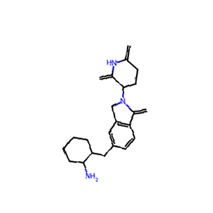 C=C1CCC(N2Cc3cc(CC4CCCCC4N)ccc3C2=C)C(=C)N1